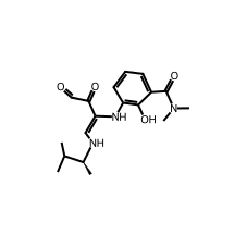 CC(C)[C@H](C)N/C=C(\Nc1cccc(C(=O)N(C)C)c1O)C(=O)C=O